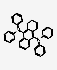 C1=Cc2c(c(N(c3ccccc3)c3ccccc3)c3ccccc3c2N(c2ccccc2)c2ccccc2)CC1